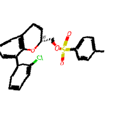 Cc1ccc(S(=O)(=O)OC[C@H]2CCc3cccc(-c4ccccc4Cl)c3O2)cc1